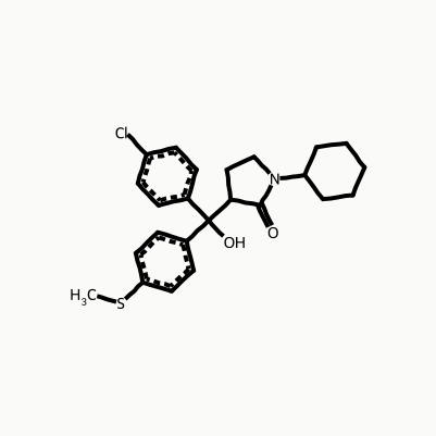 CSc1ccc(C(O)(c2ccc(Cl)cc2)C2CCN(C3CCCCC3)C2=O)cc1